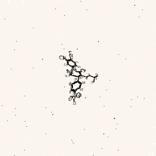 CC(C)CCc1c(-c2ccc(S(C)(=O)=O)cc2)cnn(-c2ccc(F)c(Cl)c2)c1=O